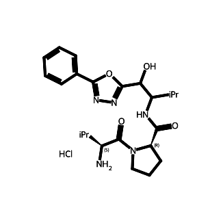 CC(C)C(NC(=O)[C@H]1CCCN1C(=O)[C@@H](N)C(C)C)C(O)c1nnc(-c2ccccc2)o1.Cl